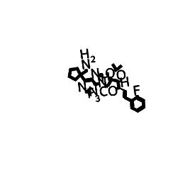 CC1(C)O[C@H]2[C@@H](O1)[C@](n1cnc3c(C4(CN)CCCC4)ncnc31)(C(F)(F)F)O[C@@H]2C=Cc1ccccc1F